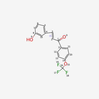 O=C(/C=C/c1cccc(O)c1)c1ccc(OC(F)(F)F)cc1